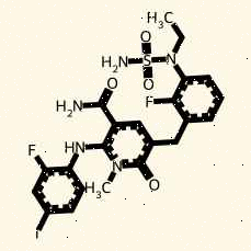 CCN(c1cccc(Cc2cc(C(N)=O)c(Nc3ccc(I)cc3F)n(C)c2=O)c1F)S(N)(=O)=O